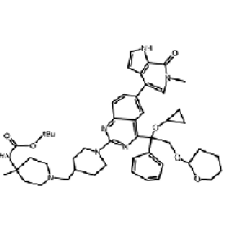 Cn1cc(-c2ccc3nc(N4CCC(CN5CCC(C)(NC(=O)OC(C)(C)C)CC5)CC4)nc(C(COC4CCCCO4)(OC4CC4)c4ccccc4)c3c2)c2cc[nH]c2c1=O